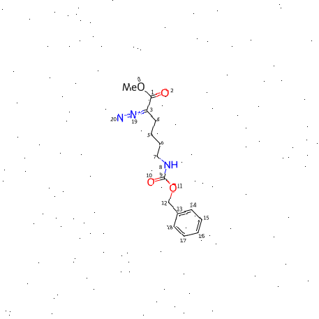 COC(=O)C(CCCCNC(=O)OCc1ccccc1)=[N+]=[N-]